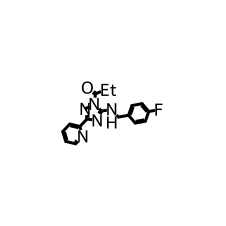 CCC(=O)n1nc(-c2ccccn2)nc1NCc1ccc(F)cc1